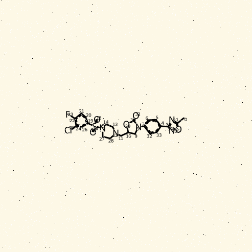 Cc1nc(-c2ccc(N3CC(CN4CCN(S(=O)(=O)c5ccc(F)c(Cl)c5)CC4)OC3=O)cc2)no1